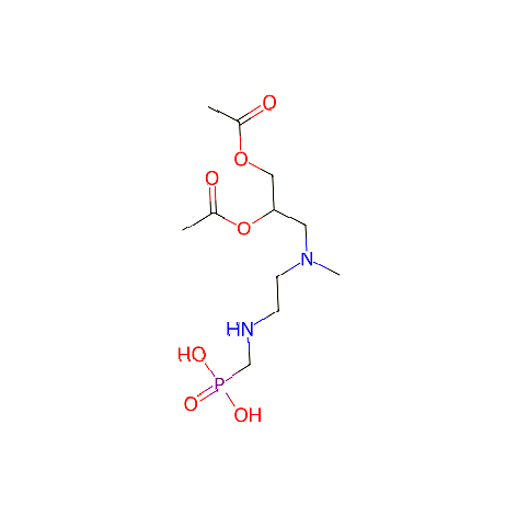 CC(=O)OCC(CN(C)CCNCP(=O)(O)O)OC(C)=O